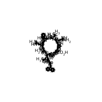 CC(C)=CC[C@H](NC(=O)CNC(=O)OCC1c2ccccc2-c2ccccc21)C(=O)N[C@H]1CCC[C@@H](C(N)=O)NC(=O)[C@H](CCCNC(=N)N)NC(=O)[C@H](Cc2cc3ccccc3[nH]2)NC(=O)[C@H](C)NC(=O)[C@H](CC=C(C)C)NC(=O)[C@H](CCCNC(=N)N)NC(=O)C2CCCN2C(=O)[C@H](CC(=O)O)NC(=O)[C@H](CO)NC1=O